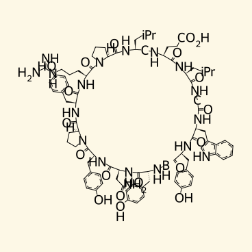 CC(C)C[C@H]1CN[C@@H](CCC(=O)O)C(=O)N[C@@H](CC(C)C)C(=O)NCC(=O)N[C@@H](Cc2c[nH]c3ccccc23)C(=O)N[C@@H](Cc2ccc(O)cc2)C(=O)BN[C@H](Cc2ccc(O)cc2)C(=O)N[C@@H](CC(N)=O)C(=O)N[C@@H](Cc2ccc(O)cc2)C(=O)N2CCC[C@H]2C(=O)N[C@@H](Cc2ccc(O)cc2)C(=O)N[C@@H](CCCNC(=N)N)C(=O)N2CCC[C@H]2C(=O)N1